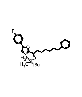 CC(C)(C)[Si](C)(C)OC(CCCCCCc1ccccc1)c1ncc(-c2ccc(F)cc2)o1